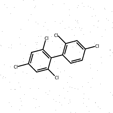 Clc1ccc(-c2c(Cl)cc(Cl)cc2Cl)c(Cl)c1